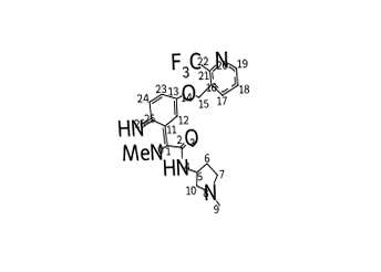 CN/C(C(=O)NC1CCN(C)C1)=C1/C=C(OCc2cccnc2C(F)(F)F)C=CC1=N